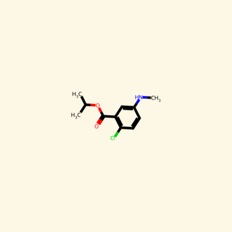 CNc1ccc(Cl)c(C(=O)OC(C)C)c1